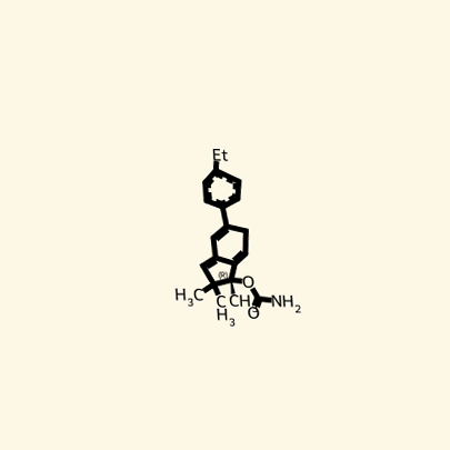 CCc1ccc(C2=CC3=CC(C)(C)[C@@](C)(OC(N)=O)C3=CC2)cc1